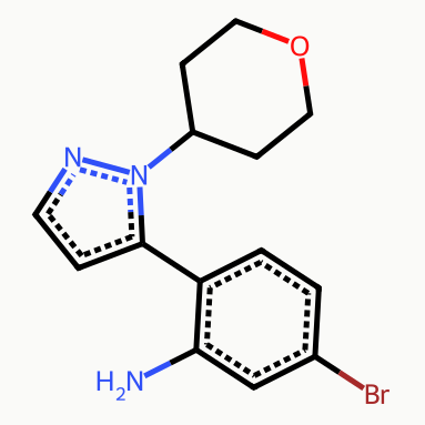 Nc1cc(Br)ccc1-c1ccnn1C1CCOCC1